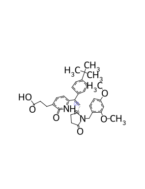 COc1ccc(CN2C(=O)CC[C@@H]2/C=C(/c2ccc(C(C)(C)C)cc2)c2ccc(CCC(=O)O)c(=O)[nH]2)c(OC)c1